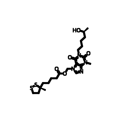 C[C@H](O)CCCCn1c(=O)c2c(ncn2COC(=O)CCCC[C@]2(C)CCSS2)n(C)c1=O